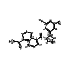 NC(=O)c1cccc2c(N[C@H]3CNC[C@@H]3c3cc(F)cc(Cl)c3)ncnc12